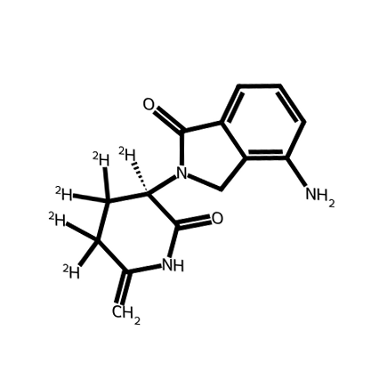 [2H]C1([2H])C(=C)NC(=O)[C@]([2H])(N2Cc3c(N)cccc3C2=O)C1([2H])[2H]